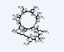 CCCCCCCC(=O)N[C@@H](CCN)C(=O)N[C@H](C(=O)N[C@H](CCN)C(=O)N[C@H]1CCNC(=O)[C@H]([C@@H](C)O)NC(=O)[C@H](CCN)NC(=O)[C@H](CCN)NC(=O)[C@H]([C@@H](C)O)NC(=O)[C@@H](CC(C)C)NC(=O)[C@H](CO)NC1=O)[C@@H](C)O